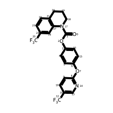 O=C(Oc1ccc(Oc2ccc(C(F)(F)F)cn2)cc1)N1CCCc2ccc(C(F)(F)F)cc21